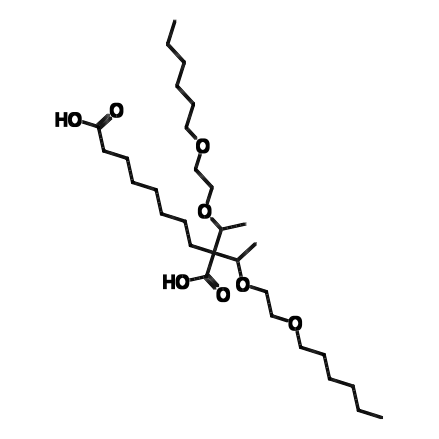 CCCCCCOCCOC(C)C(CCCCCCCC(=O)O)(C(=O)O)C(C)OCCOCCCCCC